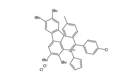 Cc1ccc([C](c2ccc(Cl)cc2)=[Zr+2]([c]2c3c(cc(C(C)(C)C)c2C(C)(C)C)-c2cc(C(C)(C)C)c(C(C)(C)C)cc2C3)[CH]2C=CC=C2)cc1.[Cl-].[Cl-]